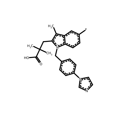 Cc1c(CC(C)(C)C(=O)O)n(Cc2ccc(-n3ccnc3)cc2)c2ccc(F)cc12